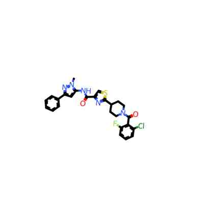 Cn1nc(-c2ccccc2)cc1NC(=O)c1csc(C2CCN(C(=O)c3c(F)cccc3Cl)CC2)n1